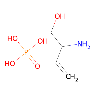 C=CC(N)CO.O=P(O)(O)O